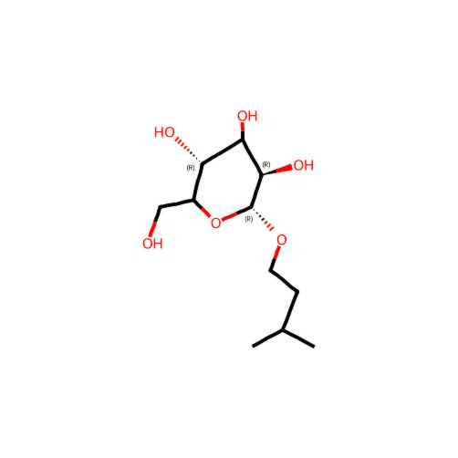 CC(C)CCO[C@@H]1OC(CO)[C@H](O)C(O)[C@H]1O